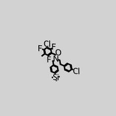 Cc1c(F)c(Cl)c(F)c(C(=O)N(CCc2ccc(Cl)cc2)Cc2ccc([Si](C)(C)C)cc2)c1F